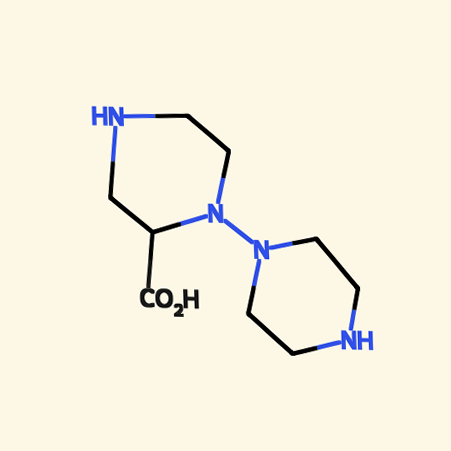 O=C(O)C1CNCCN1N1CCNCC1